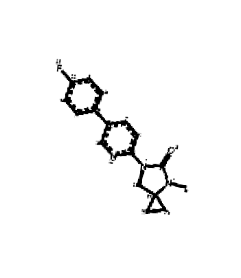 CN1C(=O)N(c2ccc(-c3ccc(F)cc3)cn2)CC12CC2